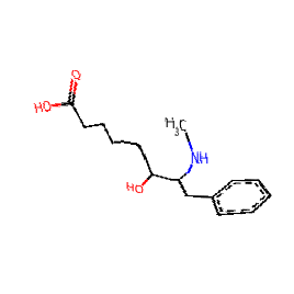 CNC(Cc1ccccc1)C(O)CCCCC(=O)O